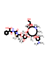 CC[C@H]1OC(=O)[C@H](C)[C@@H](O[C@H]2C[C@@](C)(OC)[C@@H](OC(=O)C3N4C(=O)C(NC(=O)C(C(=O)O)c5ccccc5)C4SC3(C)C)[C@H](C)O2)[C@H](C)[C@@H](O[C@H]2C[C@@H](N(C)C)C[C@@H](C)O2)[C@](C)(O)C[C@@H](C)CN(C)[C@H](C)[C@@H](OC(=O)CCO)[C@]1(C)O